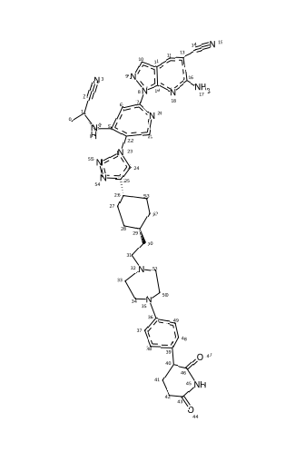 CC(C#N)Nc1cc(-n2ncc3cc(C#N)c(N)nc32)ncc1-n1cc([C@H]2CC[C@H](CCN3CCN(c4ccc(C5CCC(=O)NC5=O)cc4)CC3)CC2)nn1